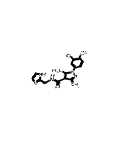 CC1=NN(c2ccc(C#N)c(Cl)c2)C(C)C1C(=O)NCc1ncc[nH]1